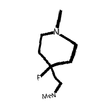 CNCC1(F)CCN(C)CC1